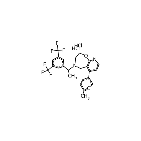 Cc1ccc(-c2ccnc3c2CN(C(C)c2cc(C(F)(F)F)cc(C(F)(F)F)c2)CCO3)cc1.Cl.Cl